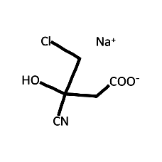 N#CC(O)(CCl)CC(=O)[O-].[Na+]